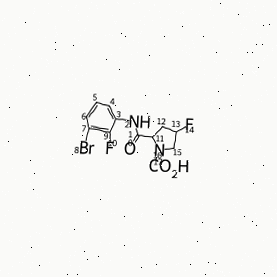 O=C(Nc1cccc(Br)c1F)C1CC(F)CN1C(=O)O